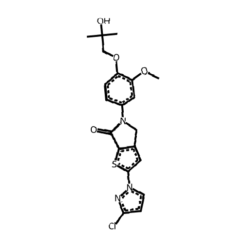 COc1cc(N2Cc3cc(-n4ccc(Cl)n4)sc3C2=O)ccc1OCC(C)(C)O